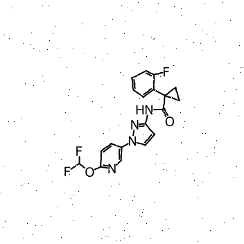 O=C(Nc1ccn(-c2ccc(OC(F)F)nc2)n1)C1(c2ccccc2F)CC1